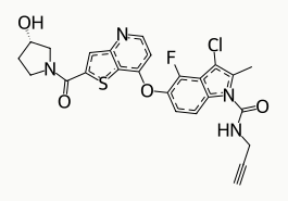 C#CCNC(=O)n1c(C)c(Cl)c2c(F)c(Oc3ccnc4cc(C(=O)N5CC[C@H](O)C5)sc34)ccc21